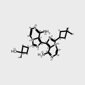 CC1(C)CC(c2nc(-c3nc([C@H]4C[C@@](C)(O)C4)n4ccnc(N)c34)c3c(N)nccn23)C1